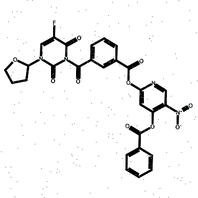 O=C(Oc1cc(OC(=O)c2ccccc2)c([N+](=O)[O-])cn1)c1cccc(C(=O)n2c(=O)c(F)cn(C3CCCO3)c2=O)c1